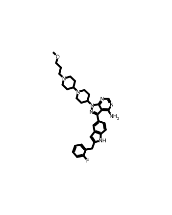 COCCCN1CCC(N2CCC(n3nc(-c4ccc5[nH]c(Cc6ccccc6F)cc5c4)c4c(N)ncnc43)CC2)CC1